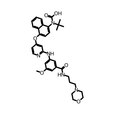 COc1cc(Nc2cc(Oc3ccc(N(C(=O)O)C(C)(C)C)c4ccccc34)ccn2)cc(C(=O)NCCCN2CCOCC2)c1